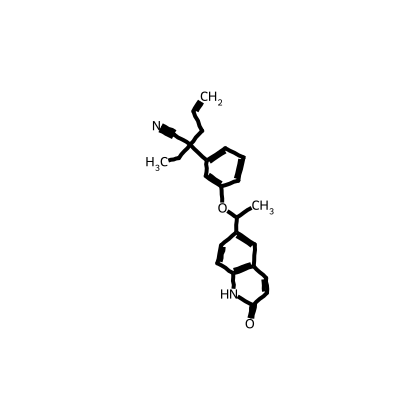 C=CCC(C#N)(CC)c1cccc(OC(C)c2ccc3[nH]c(=O)ccc3c2)c1